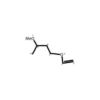 C=COCCC(C)OC